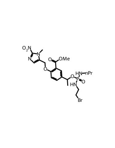 CCCNP(=O)(NCCBr)OC(C)c1ccc(OCc2cnc([N+](=O)[O-])n2C)c(C(=O)OC)c1